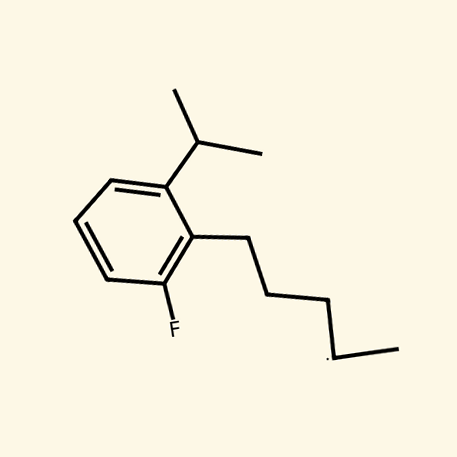 C[CH]CCCc1c(F)cccc1C(C)C